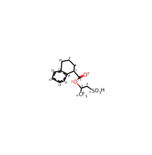 O=C(OC(CS(=O)(=O)O)C(F)(F)F)C1CCCc2ccccc21